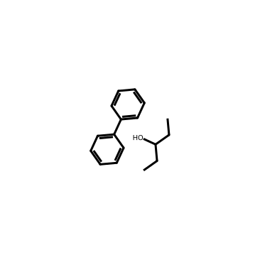 CCC(O)CC.c1ccc(-c2ccccc2)cc1